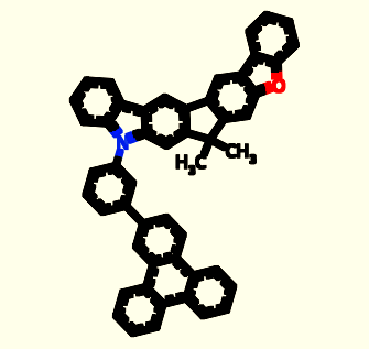 CC1(C)c2cc3oc4ccccc4c3cc2-c2cc3c4ccccc4n(-c4cccc(-c5ccc6c7ccccc7c7ccccc7c6c5)c4)c3cc21